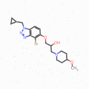 COC1CCN(CC(O)COc2ccc3c(nnn3CC3CC3)c2Br)CC1